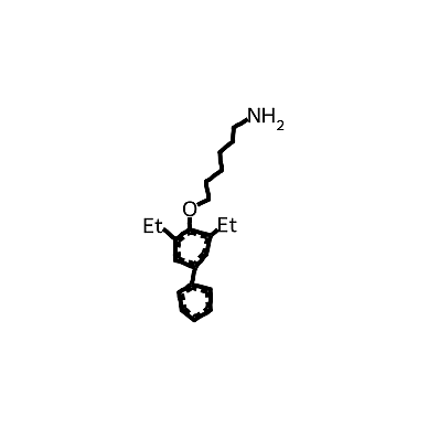 CCc1cc(-c2ccccc2)cc(CC)c1OCCCCCCN